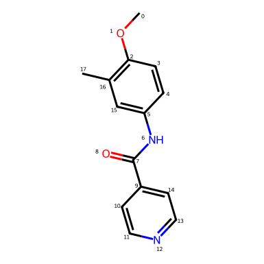 COc1ccc(NC(=O)c2ccncc2)cc1C